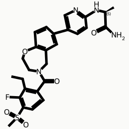 CCc1c(C(=O)N2CCOc3ccc(-c4ccc(N[C@@H](C)C(N)=O)nc4)cc3C2)ccc(S(C)(=O)=O)c1F